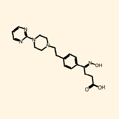 O=C(O)CCC(=NO)c1ccc(CCN2CCN(c3ncccn3)CC2)cc1